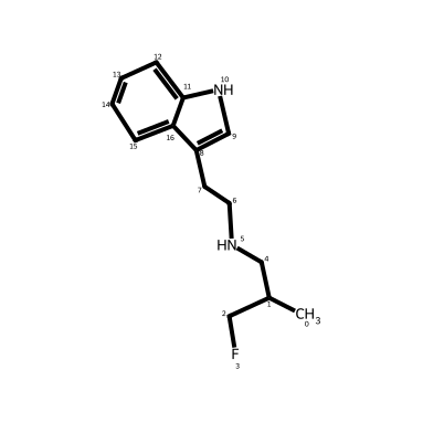 CC(CF)CNCCc1c[nH]c2ccccc12